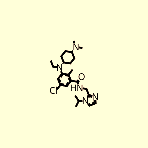 CCN(c1cc(Cl)cc(C(=O)NCc2nccn2C(C)C)c1C)[C@H]1CC[C@H](N(C)C)CC1